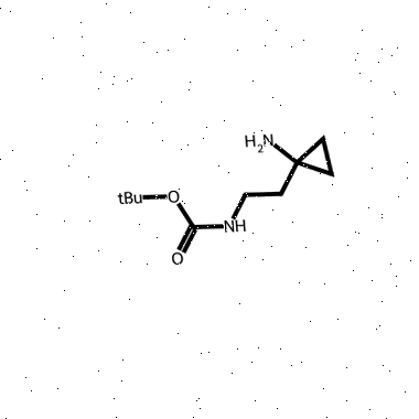 CC(C)(C)OC(=O)NCCC1(N)CC1